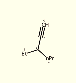 C#CC(CC)CCC